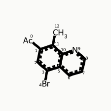 CC(=O)c1cc(Br)c2cccnc2c1C